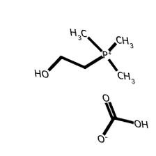 C[P+](C)(C)CCO.O=C([O-])O